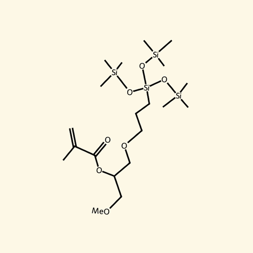 C=C(C)C(=O)OC(COC)COCCC[Si](O[Si](C)(C)C)(O[Si](C)(C)C)O[Si](C)(C)C